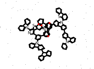 c1ccc(-n2c3ccccc3c3cc(-c4ccc5c(c4)c4cc(-c6cc(-c7cccc(-c8cc(-c9cnc(-n%10c%11ccccc%11c%11ccccc%11%10)c%10sc%11ccc(-n%12c%13ccccc%13c%13ccccc%13%12)cc%11c9%10)cc(-n9c%10ccccc%10c%10cc(C%11c%12ccccc%12-c%12ccccc%12%11)ccc%109)c8)c7)c7sc8ccccc8c7c6)ccc4n5-c4cccc5c4sc4ccccc45)ccc32)cc1